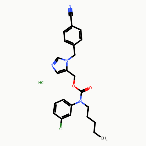 CCCCCN(C(=O)OCc1cncn1Cc1ccc(C#N)cc1)c1cccc(Cl)c1.Cl